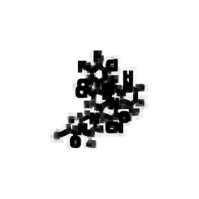 C=CC(=O)N1[C@H](C)CN(c2c(C#N)c(=O)n(C3=C(C)C=CN[C@@H]3C(C)C)c3nc(-c4c(F)c(Cl)c(F)c(F)c4Cl)c(Cl)cc23)C[C@@H]1C